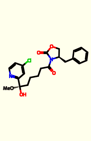 CO[C@@](O)(CCCCC(=O)N1C(=O)OC[C@H]1Cc1ccccc1)c1cc(Cl)ccn1